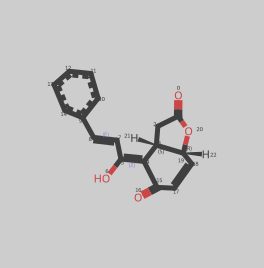 O=C1C[C@H]2/C(=C(O)\C=C\c3ccccc3)C(=O)C=C[C@H]2O1